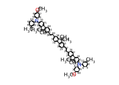 COc1ccc(N(c2cccc(C)c2)c2ccc3c(c2)C(C)(C)c2cc(/C=C/c4ccc5c(c4)C(C)(C)c4cc(/C=C/c6ccc7c(c6)C(C)(C)c6cc(N(c8ccc(OC)cc8)c8cccc(C)c8)ccc6-7)ccc4-5)ccc2-3)cc1